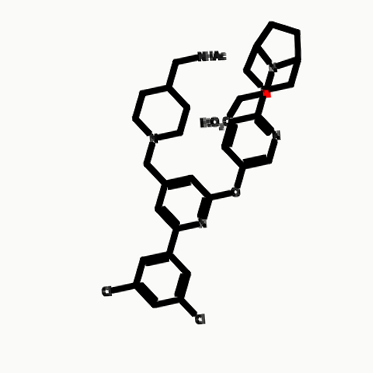 CCOC(=O)CCN1C2CCC1CN(c1ccc(Oc3cc(CN4CCC(CNC(C)=O)CC4)cc(-c4cc(Cl)cc(Cl)c4)n3)cn1)C2